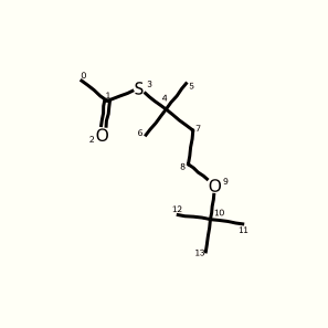 CC(=O)SC(C)(C)CCOC(C)(C)C